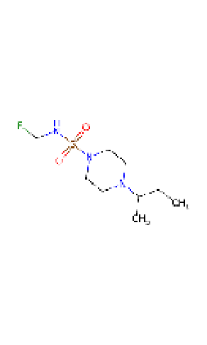 CCC(C)N1CCN(S(=O)(=O)NCF)CC1